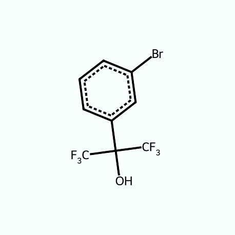 OC(c1cccc(Br)c1)(C(F)(F)F)C(F)(F)F